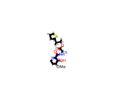 COc1ccnc(C(=O)N[C@@H](C)C(=O)OC(C)C(C)c2cccs2)c1O